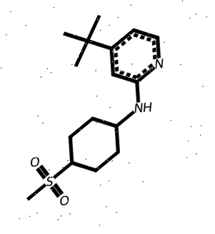 CC(C)(C)c1ccnc(NC2CCC(S(C)(=O)=O)CC2)c1